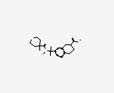 CN(C(=O)C1(C)CCNCC1)C(C)(C)c1ccc2c(c1)CC(C(=O)NO)CC2